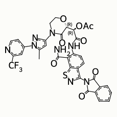 CC(=O)O[C@@H](C(=O)Nc1ccc2c(N3C(=O)c4ccccc4C3=O)nsc2c1C(N)=O)[C@H]1OCCN(c2cc(C)n(-c3ccnc(C(F)(F)F)c3)n2)C1=O